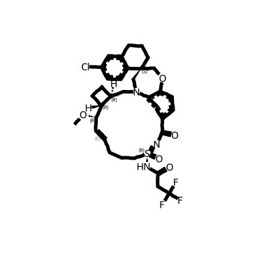 CO[C@H]1/C=C/CCC[S@@](=O)(NC(=O)CC(F)(F)F)=NC(=O)c2ccc3c(c2)N(C[C@@H]2CC[C@H]21)C[C@@]1(CCCc2cc(Cl)ccc21)CO3